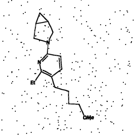 CCc1nc(N2CC3CC3C2)ccc1CCCCOC